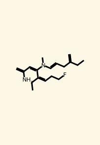 C=C(N)/C=C(\C(=C/CCF)CC)N(C)/C=C/CC(=C)CC